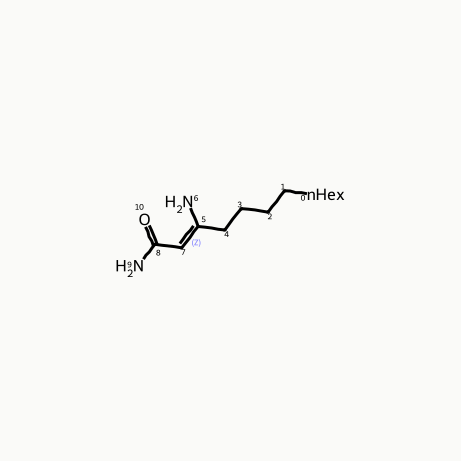 CCCCCCCCCC/C(N)=C/C(N)=O